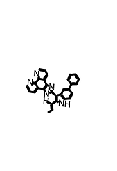 C/C=C(\C)c1[nH]c2ccc(-c3ccccc3)cc2c1-c1nc2c3cccnc3c3ncccc3c2[nH]1